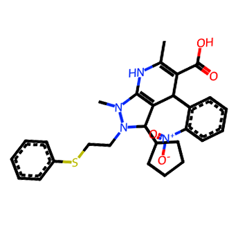 CC1=C(C(=O)O)C(c2ccccc2[N+](=O)[O-])C2=C(N1)N(C)N(CCSc1ccccc1)C2C1CCCC1